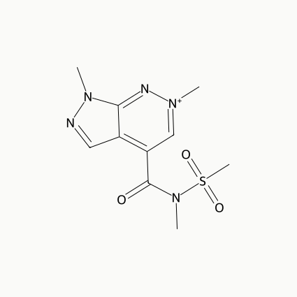 CN(C(=O)c1c[n+](C)nc2c1cnn2C)S(C)(=O)=O